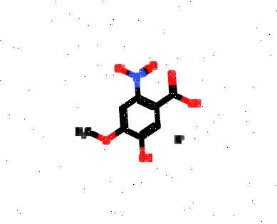 COc1cc([N+](=O)[O-])c(C(=O)O)cc1O.[K+]